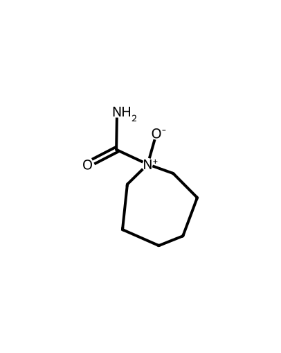 NC(=O)[N+]1([O-])CCCCCC1